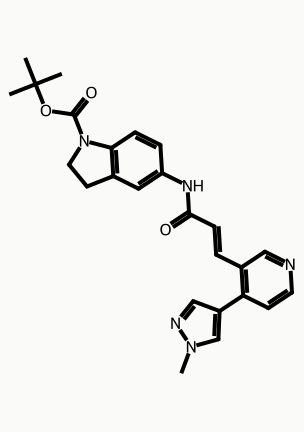 Cn1cc(-c2ccncc2C=CC(=O)Nc2ccc3c(c2)CCN3C(=O)OC(C)(C)C)cn1